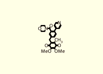 COC1=C(OC)C(=O)C(Cc2ccc(-c3ccncc3)c(C(=O)N3CCOCC3)c2)=C(C)C1=O